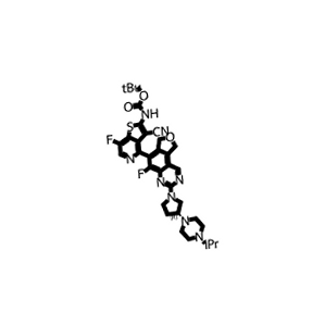 CC(C)N1CCN([C@@H]2CCN(c3ncc4c5c(c(-c6ncc(F)c7sc(NC(=O)OC(C)(C)C)c(C#N)c67)c(F)c4n3)COC5)C2)CC1